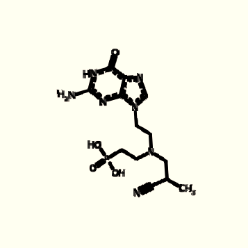 CC(C#N)CN(CCn1cnc2c(=O)[nH]c(N)nc21)CCP(=O)(O)O